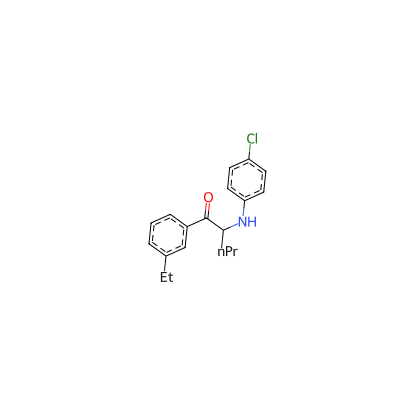 CCCC(Nc1ccc(Cl)cc1)C(=O)c1cccc(CC)c1